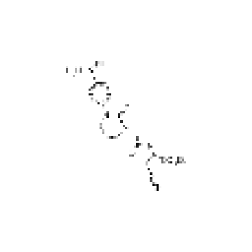 C#CCC(NC(=O)CC1CCCN(c2ccc(C(=N)N)cc2)C1=O)C(=O)OCC